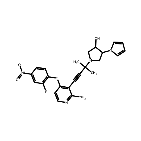 CC(C)(C#Cc1c(Oc2ccc([N+](=O)[O-])cc2F)ccnc1N)N1CC(O)C(n2cccc2)C1